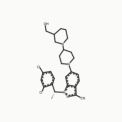 C[C@H](c1ccc(Cl)cc1Cl)n1nc(C#N)c2ccc(N3CCC(N4CCCC(CO)C4)CC3)cc21